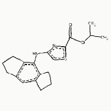 CC(C)OC(=O)c1nc(Nc2c3c(cc4c2CCC4)CCC3)cs1